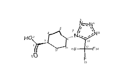 O=C(O)[C@H]1CC[C@H](n2nnnc2C(F)(F)F)CC1